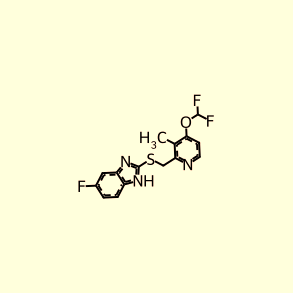 Cc1c(OC(F)F)ccnc1CSc1nc2cc(F)ccc2[nH]1